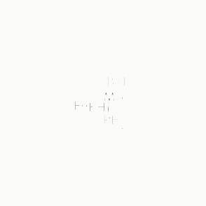 [BiH3].[Fe].[KH].[PH2][Mo]